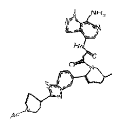 CC(=O)N1CCC(c2nc3cc(C4CCC(C)CN4C(=O)C(=O)Nc4cnc(N)c5c4cnn5C)ccc3s2)CC1